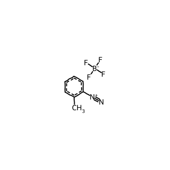 Cc1ccccc1[N+]#N.F[B-](F)(F)F